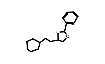 c1ccc(C2OCC(CCC3CCCCC3)O2)cc1